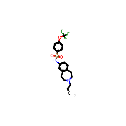 CCCN1CCc2ccc(NS(=O)(=O)c3ccc(OC(F)(F)F)cc3)cc2CC1